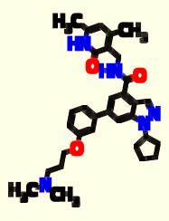 Cc1cc(C)c(CNC(=O)c2cc(-c3cccc(OCCCN(C)C)c3)cc3c2cnn3C2CCCC2)c(=O)[nH]1